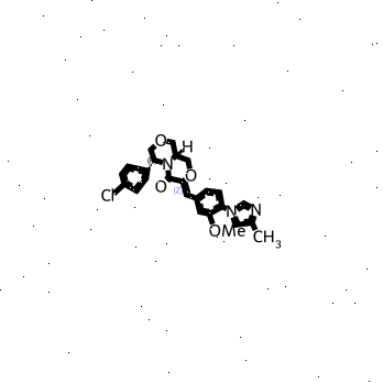 COc1cc(/C=C2\OC[C@H]3COC[C@@H](c4ccc(Cl)cc4)N3C2=O)ccc1-n1cnc(C)c1